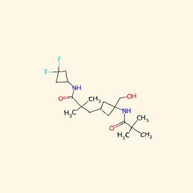 CC(C)(C)C(=O)NC1(CO)CC(CC(C)(C)C(=O)NC2CC(F)(F)C2)C1